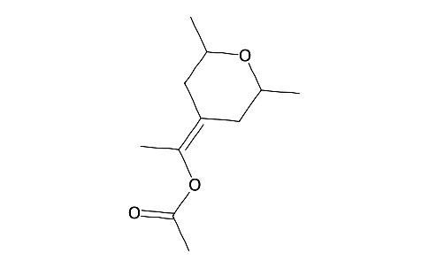 CC(=O)OC(C)=C1CC(C)OC(C)C1